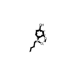 CCCC[S+]([O-])c1ccc(O)cc1OC